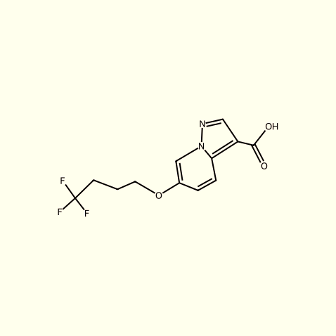 O=C(O)c1cnn2cc(OCCCC(F)(F)F)ccc12